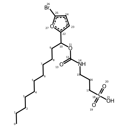 CCCCCCCCCCC(OC(=O)NCCCS(=O)(=O)O)c1ccc(Br)o1